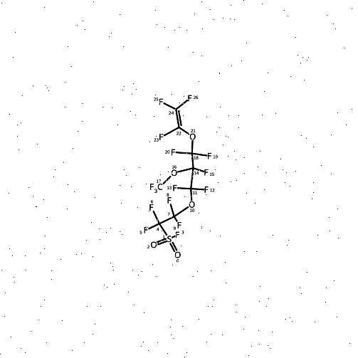 O=S(=O)(F)C(F)(F)C(F)(F)OC(F)(F)C(F)(OC(F)(F)F)C(F)(F)OC(F)=C(F)F